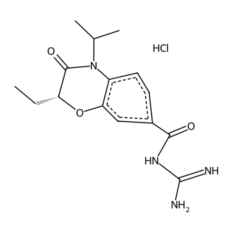 CC[C@H]1Oc2cc(C(=O)NC(=N)N)ccc2N(C(C)C)C1=O.Cl